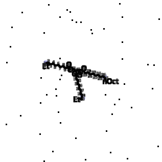 CC/C=C\CCCCCCCC(=O)OCC(COC(=O)CCCCCCC/C=C\CCCCCCCC)OC(=O)CCCCCCC/C=C\CC